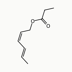 C/C=C/C=C\COC(=O)CC